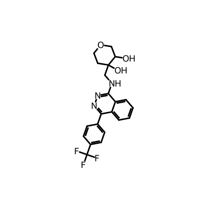 OC1COCCC1(O)CNc1nnc(-c2ccc(C(F)(F)F)cc2)c2ccccc12